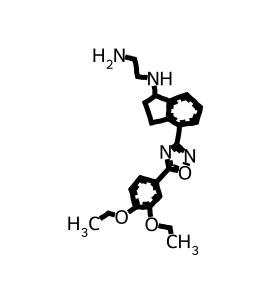 CCOc1ccc(-c2nc(-c3cccc4c3CCC4NCCN)no2)cc1OCC